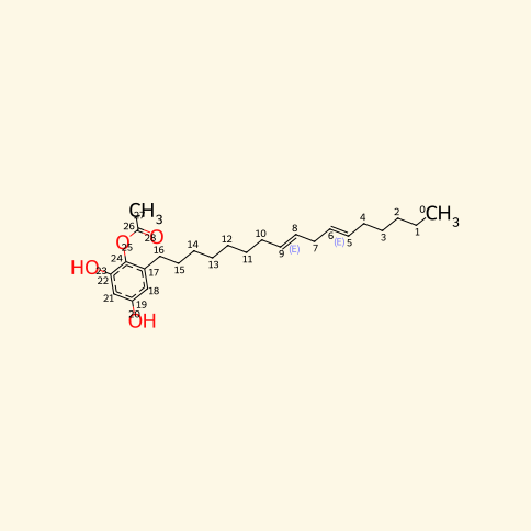 CCCCC/C=C/C/C=C/CCCCCCCc1cc(O)cc(O)c1OC(C)=O